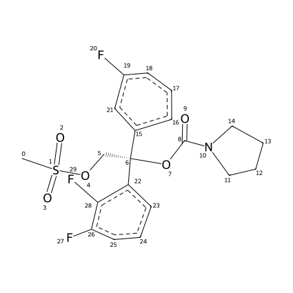 CS(=O)(=O)OC[C@@](OC(=O)N1CCCC1)(c1cccc(F)c1)c1cccc(F)c1F